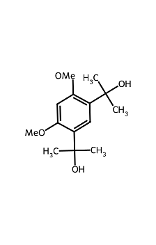 COc1cc(OC)c(C(C)(C)O)cc1C(C)(C)O